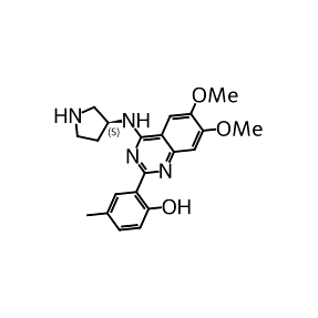 COc1cc2nc(-c3cc(C)ccc3O)nc(N[C@H]3CCNC3)c2cc1OC